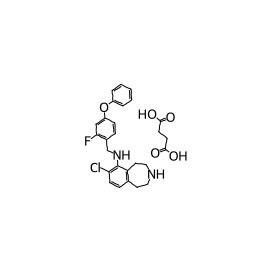 Fc1cc(Oc2ccccc2)ccc1CNc1c(Cl)ccc2c1CCNCC2.O=C(O)CCC(=O)O